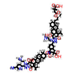 CC[C@H](CC[C@@]1(C)[C@H](C)CC[C@]2(C)[C@@H]1CC[C@@H]1C3=C(C(C)C)C(=O)C[C@]3([C@H](O)c3nnc(-c4ccc(C#N)c(CC(C)(CC(=O)O[C@H]5CC[C@@]6(C)C(CC[C@]7(C)[C@@H]6CC[C@@H]6C8=C(C(C)C)C(=O)C[C@]8([C@@H](O)c8nnc(-c9ccc(C#N)cn9)n8CCN(C)C)CC[C@]67C)C5(C)C)C(=O)O)c4)n3CCN(C)C)CC[C@]12C)OC(=O)CC(C)(C)C(=O)O